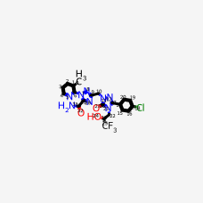 Cc1cccnc1-n1nc(Cn2nc(-c3ccc(Cl)cc3)n(CC(O)C(F)(F)F)c2=O)nc1C(N)=O